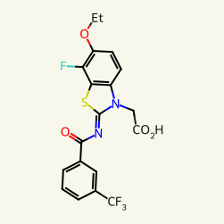 CCOc1ccc2c(sc(=NC(=O)c3cccc(C(F)(F)F)c3)n2CC(=O)O)c1F